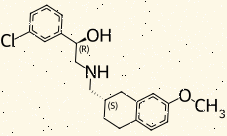 COc1ccc2c(c1)C[C@@H](CNC[C@H](O)c1cccc(Cl)c1)CC2